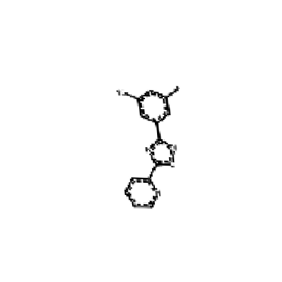 N#Cc1cc(F)cc(-c2noc(-c3ccccn3)n2)c1